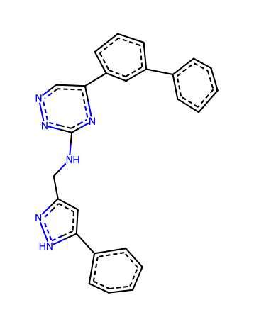 c1ccc(-c2cccc(-c3cnnc(NCc4cc(-c5ccccc5)[nH]n4)n3)c2)cc1